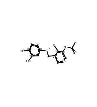 CC(=O)Oc1cncc(COc2ccc(F)c(Cl)c2)c1C